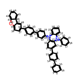 c1ccc(-c2ccc(-c3ccc4c(c3)N(c3ccccc3)c3ccccc3N4c3ccc(-c4ccc(-c5ccc6oc7ccccc7c6c5)cc4)cc3)cc2)cc1